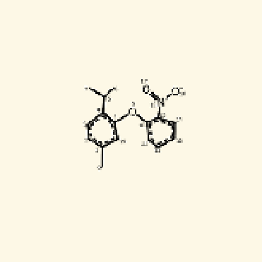 Cc1ccc(C(C)C)c(Oc2ccccc2[N+](=O)[O-])c1